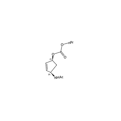 CCCOC(=O)O[C@@H]1C=C[C@H](NC(C)=O)C1